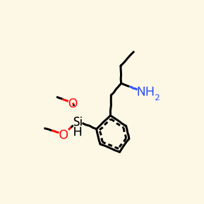 CCC(N)Cc1ccccc1[SiH](OC)OC